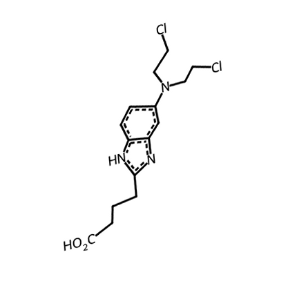 O=C(O)CCCc1nc2cc(N(CCCl)CCCl)ccc2[nH]1